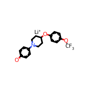 [Li+].[O-]c1ccc(N2CCC(Oc3ccc(OC(F)(F)F)cc3)CC2)cc1